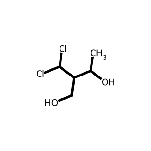 CC(O)C(CO)C(Cl)Cl